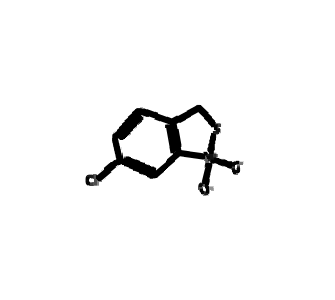 [O-][N+]1([O-])SCc2ccc(Cl)cc21